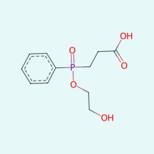 O=C(O)CCP(=O)(OCCO)c1ccccc1